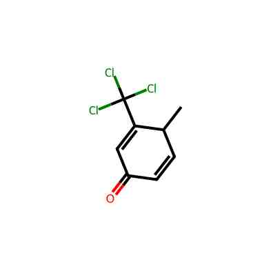 CC1C=CC(=O)C=C1C(Cl)(Cl)Cl